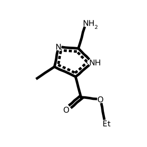 CCOC(=O)c1[nH]c(N)nc1C